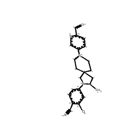 CC1CC2(CCN(c3ccc(C=O)nc3)CC2)CN1c1ccc(C#N)c(Cl)c1